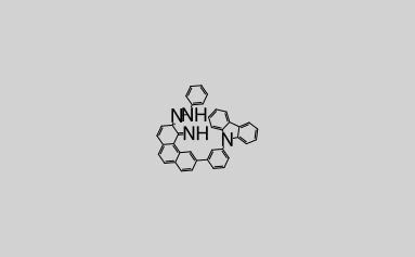 N=C1/C(=N\Nc2ccccc2)C=Cc2ccc3ccc(-c4cccc(-n5c6ccccc6c6ccccc65)c4)cc3c21